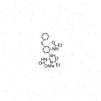 CCC(=O)N=C(NC(=O)OC)Nc1ccc(Sc2ccccc2)cc1NC(=O)CC